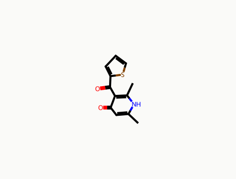 Cc1cc(=O)c(C(=O)c2cccs2)c(C)[nH]1